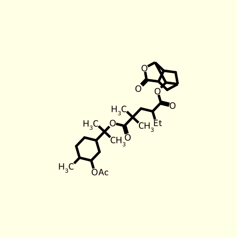 CCC(CC(C)(C)C(=O)OC(C)(C)C1CCC(C)C(OC(C)=O)C1)C(=O)OC1C2CC3C(=O)OC1C3C2